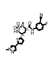 CN1[C@H](C(=O)Nc2ccc(F)c(C#N)c2)C[C@H](c2ccc(-c3cnn(C)c3)s2)NS1(=O)=O